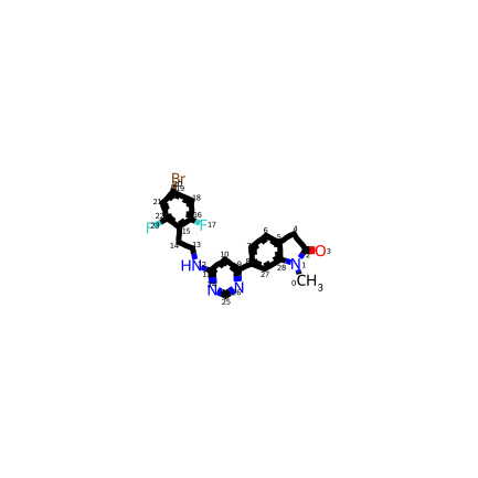 CN1C(=O)Cc2ccc(-c3cc(NCCc4c(F)cc(Br)cc4F)ncn3)cc21